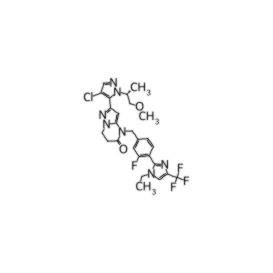 CCn1cc(C(F)(F)F)nc1-c1ccc(CN2C(=O)CCn3nc(-c4c(Cl)cnn4[C@@H](C)COC)cc32)cc1F